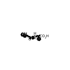 O=C(O)CC(CC(=O)N[C@H]1CCN(C(=O)CCCc2ccc3c(n2)NCCC3)C1)c1ccccc1